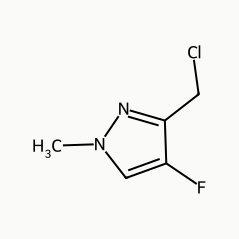 Cn1cc(F)c(CCl)n1